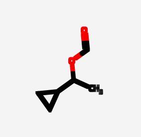 CC(OC=O)C1CC1